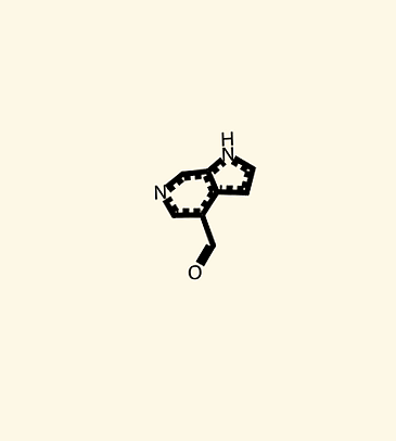 O=Cc1cncc2[nH]ccc12